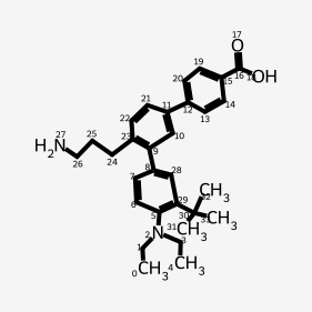 CCN(CC)c1ccc(-c2cc(-c3ccc(C(=O)O)cc3)ccc2CCCN)cc1C(C)(C)C